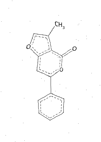 Cc1coc2cc(-c3ccccc3)oc(=O)c12